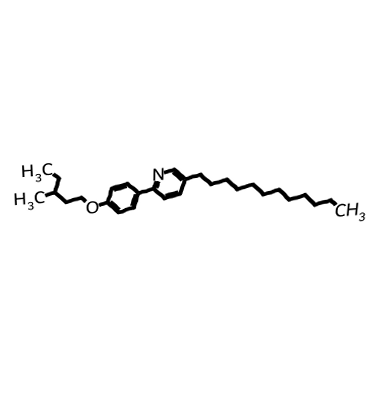 CCCCCCCCCCCCc1ccc(-c2ccc(OCCC(C)CC)cc2)nc1